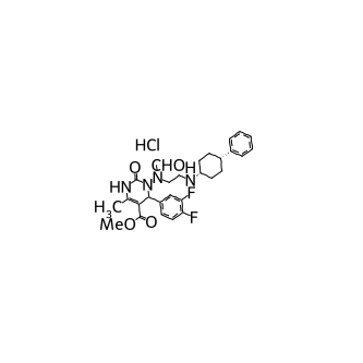 COC(=O)C1=C(C)NC(=O)N(N(C=O)CCN[C@H]2CC[C@@H](c3ccccc3)CC2)C1c1ccc(F)c(F)c1.Cl